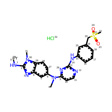 CC(C)Nc1nc2cc(N(C)c3ccnc(Nc4cccc(CS(C)(=O)=O)c4)n3)ccc2n1C.Cl